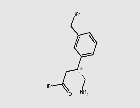 CC(C)Cc1cccc([C@H](CN)CC(=O)C(C)C)c1